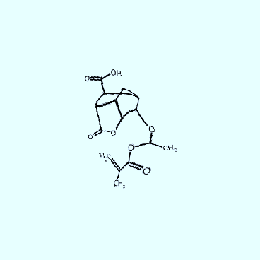 C=C(C)C(=O)OC(C)OC1C2CC3C1OC(=O)C3C2C(=O)O